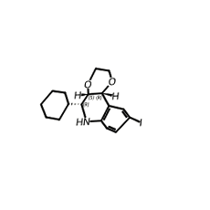 Ic1ccc2c(c1)[C@H]1OCCO[C@H]1[C@@H](C1CCCCC1)N2